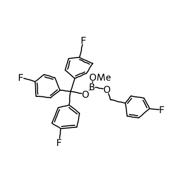 COB(OCc1ccc(F)cc1)OC(c1ccc(F)cc1)(c1ccc(F)cc1)c1ccc(F)cc1